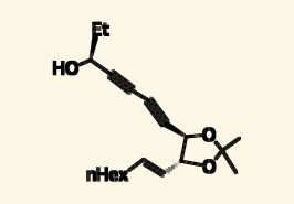 CCCCCC/C=C/[C@H]1OC(C)(C)O[C@@H]1C#CC#C[C@@H](O)CC